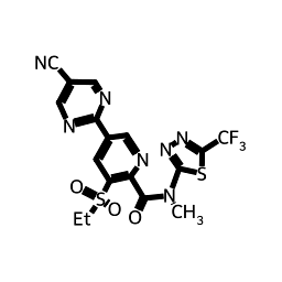 CCS(=O)(=O)c1cc(-c2ncc(C#N)cn2)cnc1C(=O)N(C)c1nnc(C(F)(F)F)s1